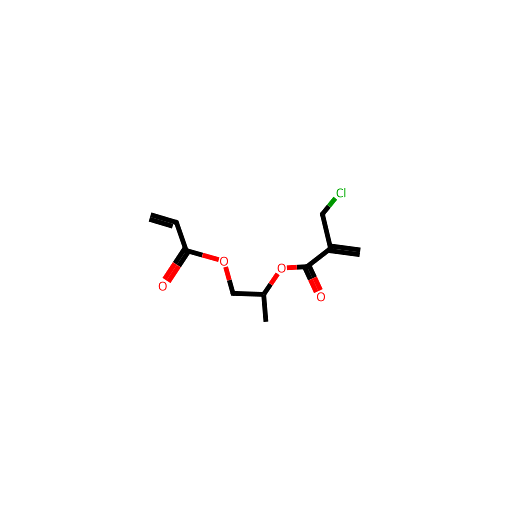 C=CC(=O)OCC(C)OC(=O)C(=C)CCl